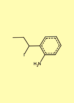 CCC(I)c1ccccc1N